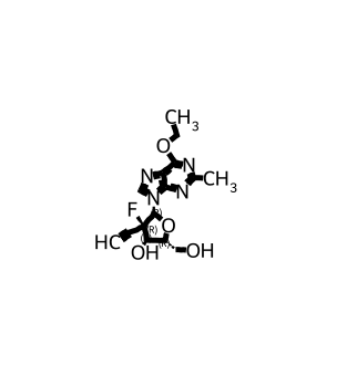 C#C[C@@]1(F)[C@H](O)[C@@H](CO)O[C@H]1n1cnc2c(OCC)nc(C)nc21